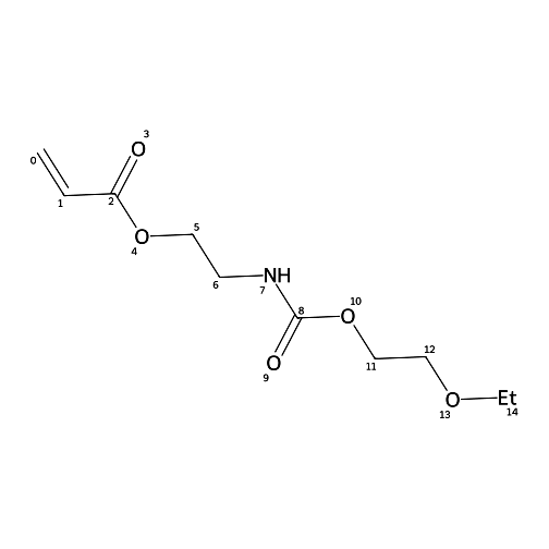 C=CC(=O)OCCNC(=O)OCCOCC